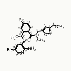 CCc1cc(CN(C)C(=O)c2ccc(F)cc2[C@@H](C)Oc2cc(Br)cnc2N)on1